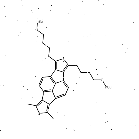 CCCCOCCCCc1sc(CCCCOCCCC)c2c1-c1ccc3c4c(ccc-2c14)-c1c(C)sc(C)c1-3